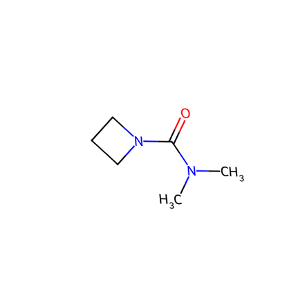 CN(C)C(=O)N1CCC1